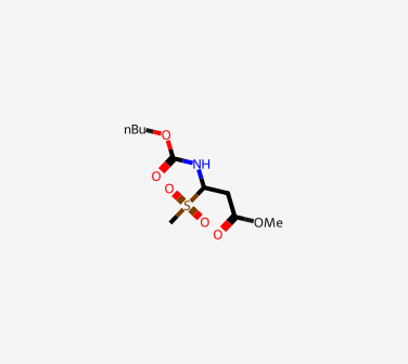 CCCCOC(=O)NC(CC(=O)OC)S(C)(=O)=O